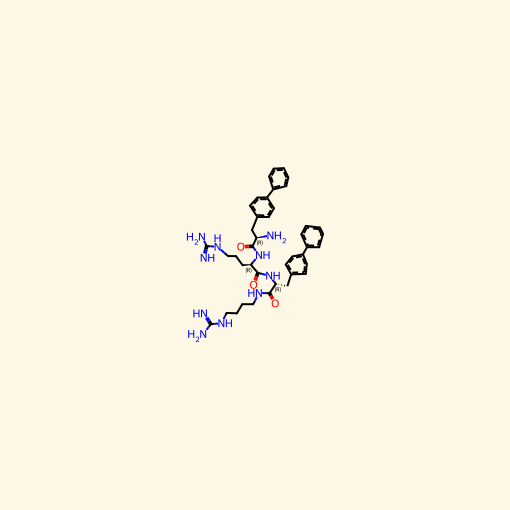 N=C(N)NCCCCNC(=O)[C@@H](Cc1ccc(-c2ccccc2)cc1)NC(=O)[C@@H](CCCNC(=N)N)NC(=O)[C@H](N)Cc1ccc(-c2ccccc2)cc1